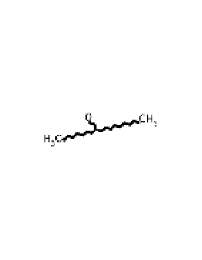 CCCCCCCCCCC(CC=O)CCCCCCCC